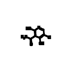 NC(=O)c1c(O)ncc(Cl)c1O